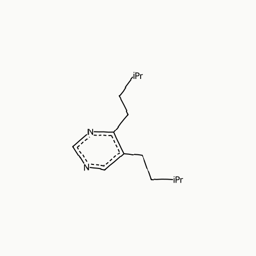 CC(C)CCc1cncnc1CCC(C)C